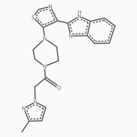 Cc1ccn(CC(=O)N2CCN(c3scnc3-c3nc4ccccc4[nH]3)CC2)n1